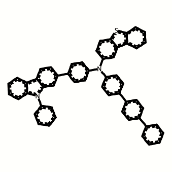 c1ccc(-c2ccc(-c3ccc(N(c4ccc(-c5ccc6c7ccccc7n(-c7ccccc7)c6c5)cc4)c4ccc5sc6ccccc6c5c4)cc3)cc2)cc1